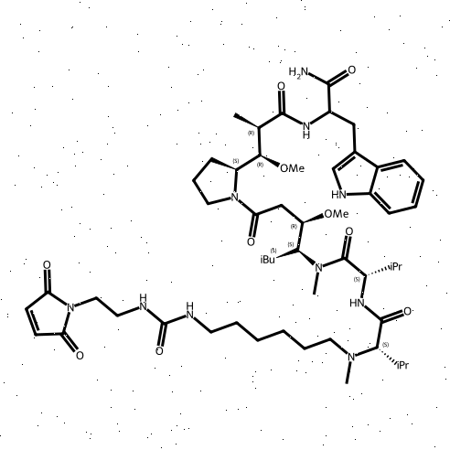 CC[C@H](C)[C@@H]([C@@H](CC(=O)N1CCC[C@H]1[C@H](OC)[C@@H](C)C(=O)NC(Cc1c[nH]c2ccccc12)C(N)=O)OC)N(C)C(=O)[C@@H](NC(=O)[C@H](C(C)C)N(C)CCCCCCNC(=O)NCCN1C(=O)C=CC1=O)C(C)C